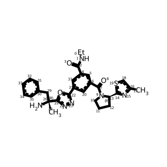 CCNC(=O)c1cc(C(=O)N2CCC[C@@H]2c2nc(C)cs2)cc(-c2nnc([C@](C)(N)Cc3ccccc3)o2)c1